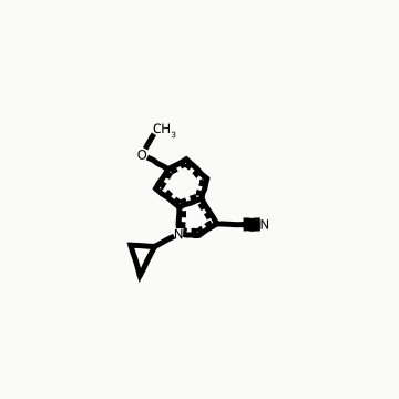 COc1ccc2c(C#N)cn(C3CC3)c2c1